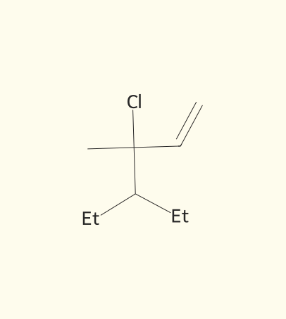 C=CC(C)(Cl)C(CC)CC